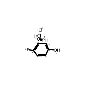 Cl.Cl.O=P.Oc1ccc(F)cc1